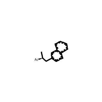 CC(=O)[C@@H](C)Cc1ccc2ccccc2c1